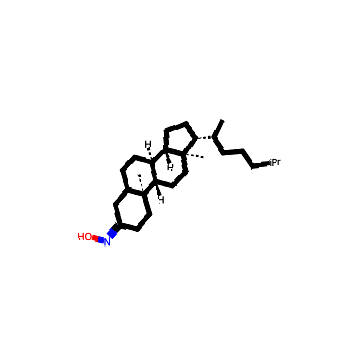 CC(C)CCCC(C)[C@H]1CC[C@H]2[C@@H]3CCC4CC(=NO)CC[C@]4(C)[C@H]3CC[C@]12C